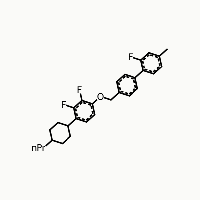 CCCC1CCC(c2ccc(OCc3ccc(-c4ccc(C)cc4F)cc3)c(F)c2F)CC1